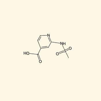 CS(=O)(=O)Nc1cc(C(=O)O)ccn1